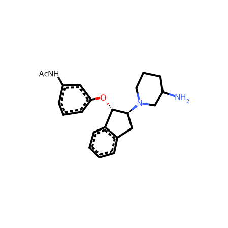 CC(=O)Nc1cccc(O[C@H]2c3ccccc3C[C@@H]2N2CCCC(N)C2)c1